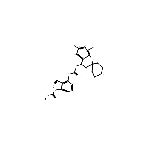 COC(=O)n1ncc2c(NC(=O)NC3CC4(CCCCC4)Oc4c(Cl)cc(Cl)cc43)cccc21